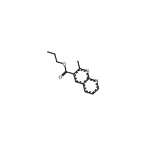 CCCOC(=O)c1cc2cccnc2nc1C